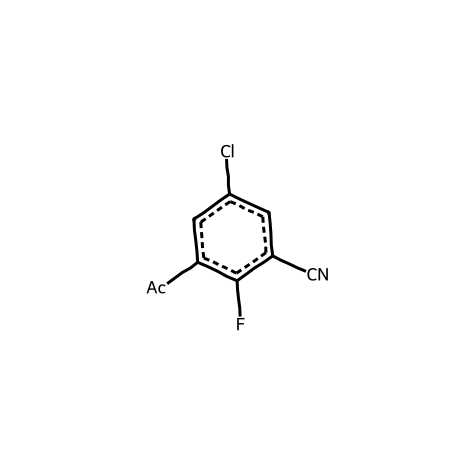 CC(=O)c1cc(Cl)cc(C#N)c1F